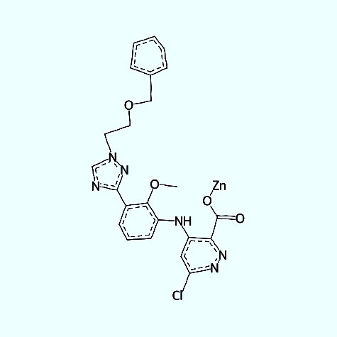 COc1c(Nc2cc(Cl)nnc2C(=O)[O][Zn])cccc1-c1ncn(CCOCc2ccccc2)n1